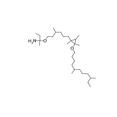 CCC(C)CCCC(C)CCCCOC1(C)C(C)C1(C)CCCC(C)CCOC(C)(N)CC